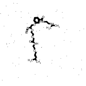 CC(C)/C=C/COCCNC(=O)COCCOC(COc1cccc(C(=O)NCCNC(C)C)c1)N=[N+]=[N-]